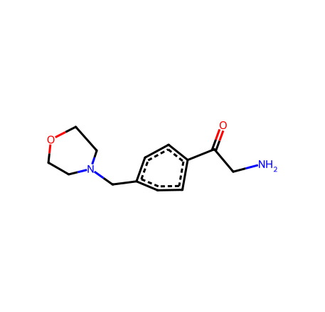 NCC(=O)c1ccc(CN2CCOCC2)cc1